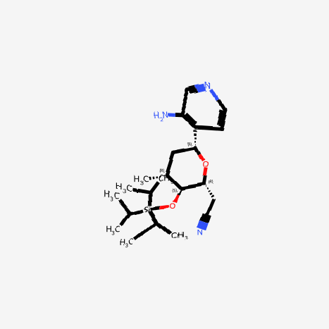 CC(C)[Si](O[C@H]1[C@H](C)C[C@H](c2ccncc2N)O[C@@H]1CC#N)(C(C)C)C(C)C